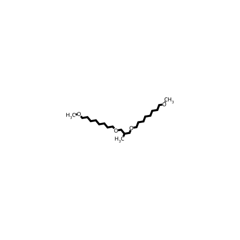 COCCCCCCCCOCC(C)COCCCCCCCCOC